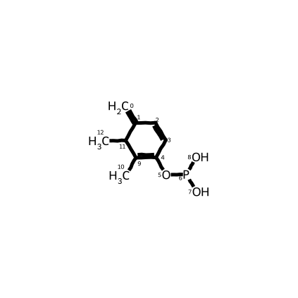 C=C1C=CC(OP(O)O)=C(C)C1C